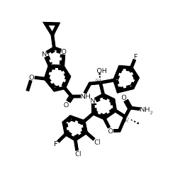 COc1cc(C(=O)NC[C@@](O)(c2cccc(F)c2)c2cc3c(c(-c4ccc(F)c(Cl)c4Cl)n2)OC[C@]3(C)C(N)=O)cc2oc(C3CC3)nc12